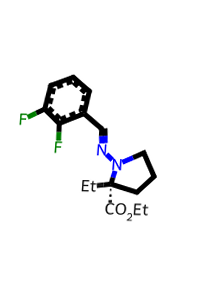 CCOC(=O)[C@@]1(CC)CCCN1/N=C/c1cccc(F)c1F